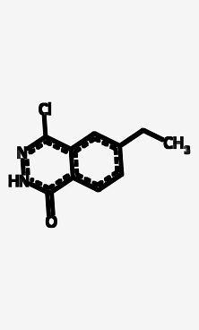 CCc1ccc2c(=O)[nH]nc(Cl)c2c1